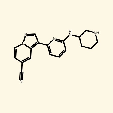 N#Cc1ccn2ncc(-c3cccc(NC4CCCNC4)n3)c2c1